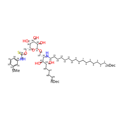 CCCCCCCCCCCCCCCCCCCCCCCCCCN[C@@H](CO[C@H]1O[C@H](COC(=S)Nc2cccc(SC)c2)[C@H](O)[C@H](O)[C@H]1O)[C@H](O)[C@H](O)CCCCCCCCCCCCCC